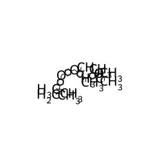 C=C(C)C(C)(CC)c1ccc(Oc2ccc(Oc3ccc(C(C)c4ccc(OC(C)(C)CC)c(C)c4)cc3C)cc2)cc1